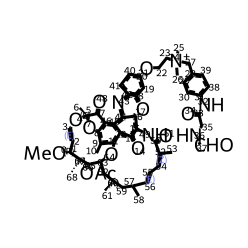 CO[C@H]1/C=C/O[C@@]2(C)Oc3c(C)c4c5c(=O)c(c6oc7cc(OCC[N+](C)(C)Cc8ccc(NC(=O)CNC=O)cc8)ccc7nc-6c5c3C2=O)NC(=O)/C(C)=C\C=C\C(C)C[C@@H](C)CC(O4)C(OC(C)=O)[C@@H]1C